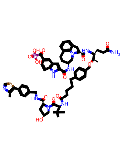 Cc1ncsc1-c1ccc(CNC(=O)[C@@H]2C[C@@H](O)CN2C(=O)[C@@H](NC(=O)CCCCc2ccc(CO[C@H](C)[C@H](CCC(N)=O)NC(=O)[C@@H]3Cc4cccc5c4N3C[C@@H](NC(=O)c3cc4cc(C(=O)P(=O)(O)O)ccc4[nH]3)CC5)cc2)C(C)(C)C)cc1